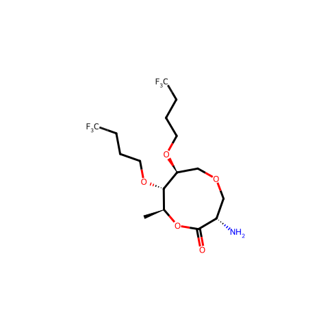 C[C@@H]1OC(=O)[C@@H](N)COC[C@H](OCCCC(F)(F)F)[C@H]1OCCCC(F)(F)F